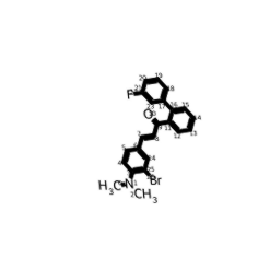 CN(C)c1ccc(C=CC(=O)c2ccccc2-c2cccc(F)c2)cc1Br